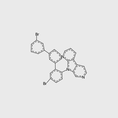 Brc1cccc(-c2cccc(-c3cc(Br)ccc3-n3c4cnccc4c4cccnc43)c2)c1